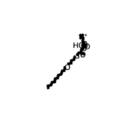 CCCCCCCCCCCCOCCCCCSCC(COP(=O)(O)OCC[N+](C)(C)C)OC